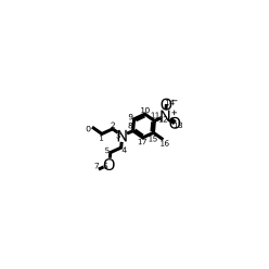 CCCN(CCOC)c1ccc([N+](=O)[O-])c(C)c1